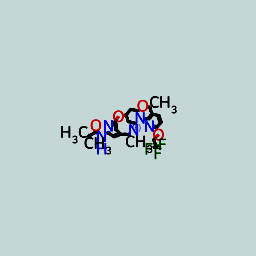 CC(=O)c1ccc(OCC(F)(F)F)nc1N1CCC2C/C1=N\C(C)c1cc(NC(=O)C(C)C)nc(c1)O2